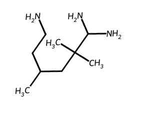 CC(CCN)CC(C)(C)C(N)N